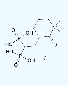 C[N+]1(C)CCCC(CC(P(=O)(O)O)P(=O)(O)O)C1=O.[Cl-]